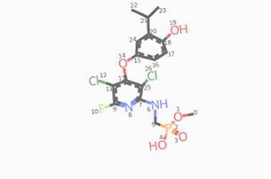 COP(=O)(O)CNc1nc(F)c(Cl)c(Oc2ccc(O)c(C(C)C)c2)c1Cl